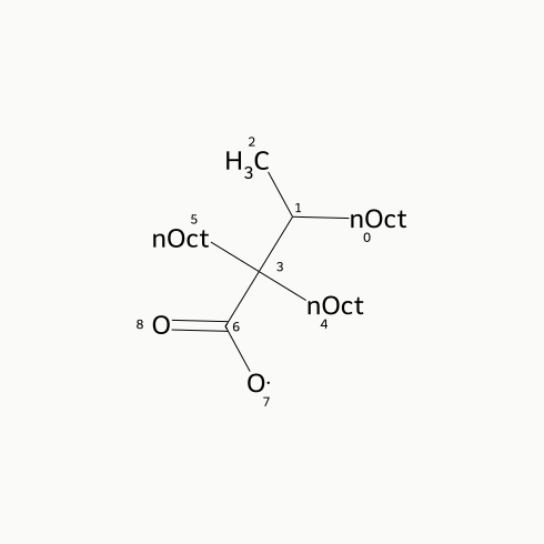 CCCCCCCCC(C)C(CCCCCCCC)(CCCCCCCC)C([O])=O